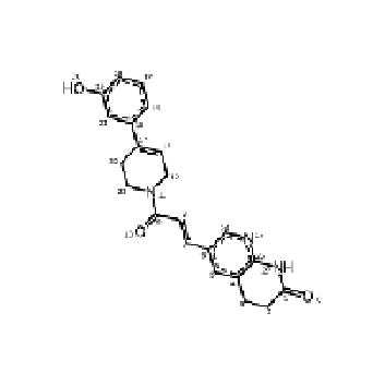 O=C1CCc2cc(/C=C/C(=O)N3CC=C(c4cccc(O)c4)CC3)cnc2N1